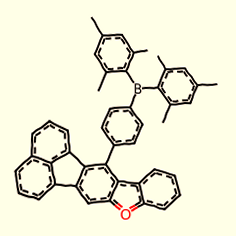 Cc1cc(C)c(B(c2ccc(-c3c4c(cc5oc6ccccc6c35)-c3cccc5cccc-4c35)cc2)c2c(C)cc(C)cc2C)c(C)c1